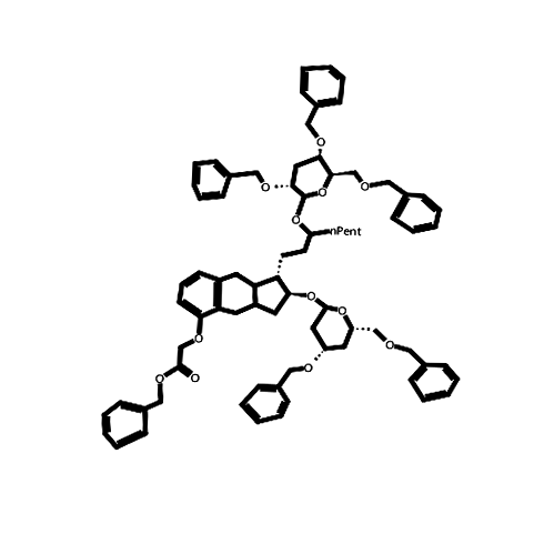 CCCCCC(CC[C@H]1C2Cc3cccc(OCC(=O)OCc4ccccc4)c3CC2C[C@@H]1OC1C[C@@H](OCc2ccccc2)C[C@@H](COCc2ccccc2)O1)OC1O[C@H](COCc2ccccc2)[C@@H](OCc2ccccc2)C[C@H]1OCc1ccccc1